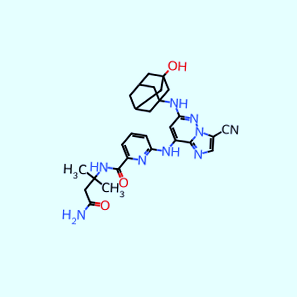 CC(C)(CC(N)=O)NC(=O)c1cccc(Nc2cc(NC34CC5CC(CC(O)(C5)C3)C4)nn3c(C#N)cnc23)n1